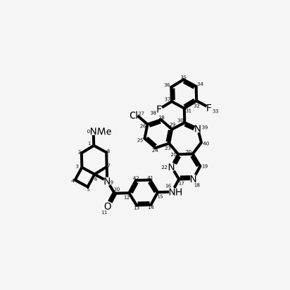 CNC1CC2CCC23C(C1)N3C(=O)c1ccc(Nc2ncc3c(n2)-c2ccc(Cl)cc2C(c2c(F)cccc2F)=NC3)cc1